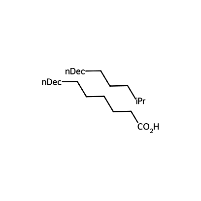 CCCCCCCCCCCCCC(C)C.CCCCCCCCCCCCCCCC(=O)O